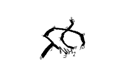 C=C(N)/C=C\C(C)(CC)CC